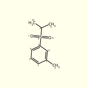 Cc1cccc(S(=O)(=O)C(C)C)c1